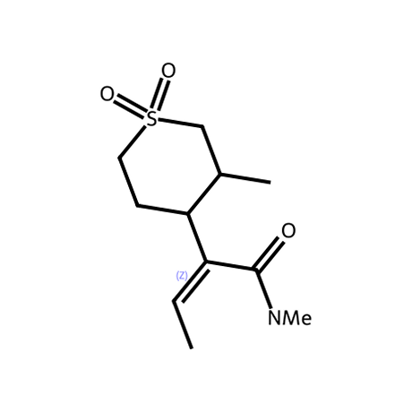 C/C=C(\C(=O)NC)C1CCS(=O)(=O)CC1C